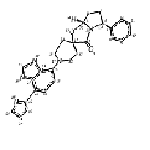 O=C1N2[C@@H](CC[C@H]2c2ccccc2)OC12CCN(c1ccc(-c3cscn3)c3ncnn13)CC2